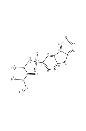 CCC([NH])C(=O)C(C)NS(=O)(=O)c1ccc2oc3ccccc3c2c1